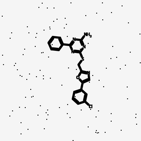 Nc1nc(SCc2ncc(-c3cccc(Cl)c3)o2)nc(-c2ccccc2)n1